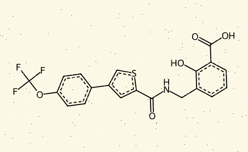 O=C(NCc1cccc(C(=O)O)c1O)c1cc(-c2ccc(OC(F)(F)F)cc2)cs1